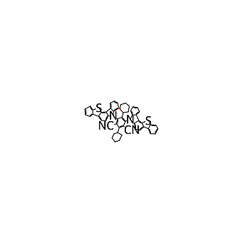 N#Cc1c(C2CCCCC2)c(C#N)c(-n2c3ccccc3c3c4sc5ccccc5c4ccc32)c(C2CCCCC2)c1-n1c2ccccc2c2c3sc4ccccc4c3ccc21